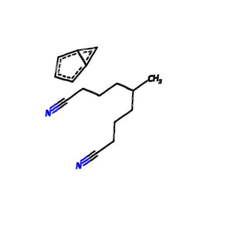 CC(CCCC#N)CCCC#N.c1cc2cc-2c1